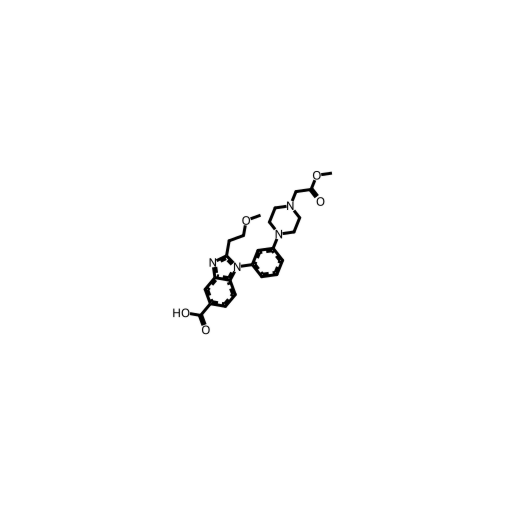 COCCc1nc2cc(C(=O)O)ccc2n1-c1cccc(N2CCN(CC(=O)OC)CC2)c1